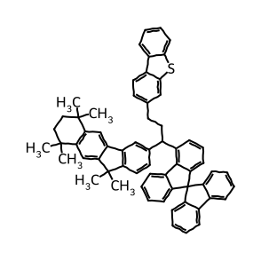 CC1(C)CCC(C)(C)c2cc3c(cc21)-c1cc(C(CCc2ccc4c(c2)sc2ccccc24)c2cccc4c2-c2ccccc2C42c4ccccc4-c4ccccc42)ccc1C3(C)C